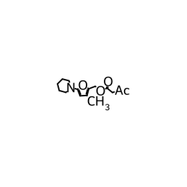 CC(=O)CC(=O)OCc1oc(N2CCCCC2)cc1C